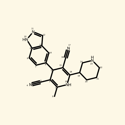 CC1=C(C#N)C(c2ccc3[nH]ncc3c2)C(C#N)=C(C2CCCNC2)N1